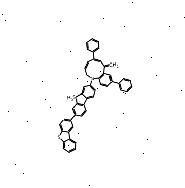 C=C1/C=C(c2ccccc2)\C=C/CN(c2ccc3c(c2)[SiH2]c2cc(-c4ccc5sc6ccccc6c5c4)ccc2-3)c2ccc(-c3ccccc3)cc21